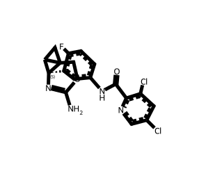 NC1=N[C@@]2(c3cc(NC(=O)c4ncc(Cl)cc4Cl)ccc3F)C3CC32CO1